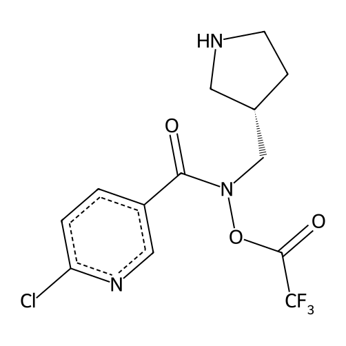 O=C(c1ccc(Cl)nc1)N(C[C@H]1CCNC1)OC(=O)C(F)(F)F